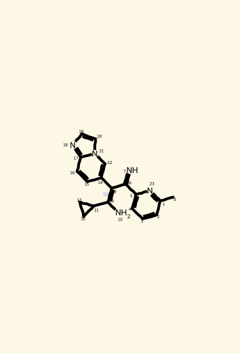 Cc1cccc(C(=N)/C(=C(\N)C2CC2)c2ccc3nccn3c2)n1